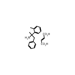 Cc1ccccc1C(C)(N)Cc1ccccc1.O=C(O)C=CC(=O)O